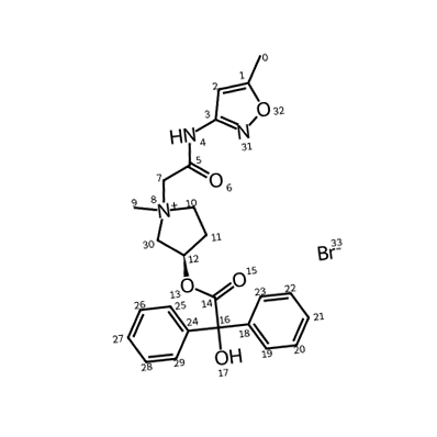 Cc1cc(NC(=O)C[N+]2(C)CC[C@@H](OC(=O)C(O)(c3ccccc3)c3ccccc3)C2)no1.[Br-]